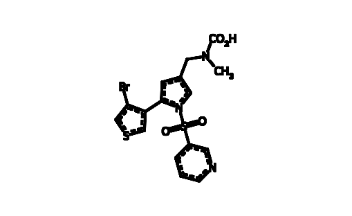 CN(Cc1cc(-c2cscc2Br)n(S(=O)(=O)c2cccnc2)c1)C(=O)O